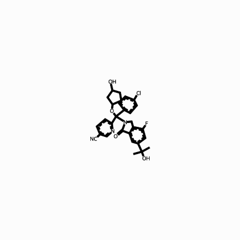 CC(C)(O)c1cc(F)c2c(c1)C(=O)N(C(OC1CCC(O)C1)(c1ccc(Cl)cc1)c1ccc(C#N)cn1)C2